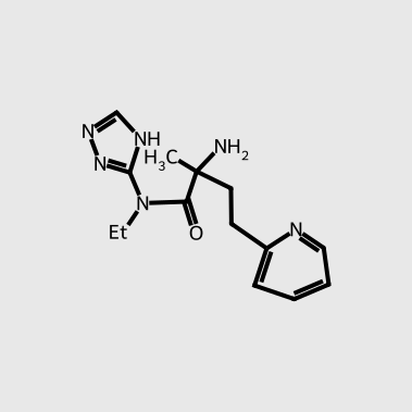 CCN(C(=O)C(C)(N)CCc1ccccn1)c1nnc[nH]1